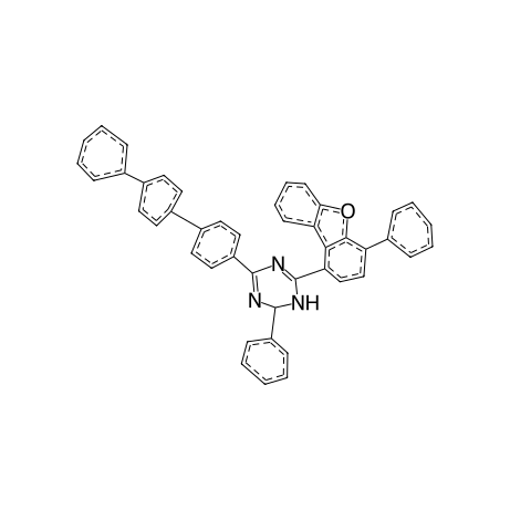 c1ccc(-c2ccc(-c3ccc(C4=NC(c5ccccc5)NC(c5ccc(-c6ccccc6)c6oc7ccccc7c56)=N4)cc3)cc2)cc1